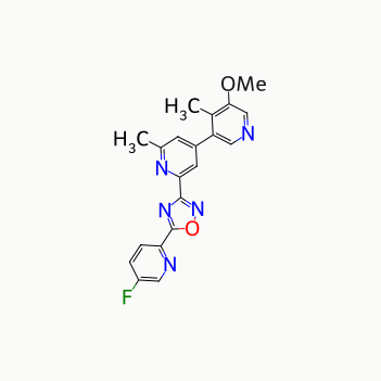 COc1cncc(-c2cc(C)nc(-c3noc(-c4ccc(F)cn4)n3)c2)c1C